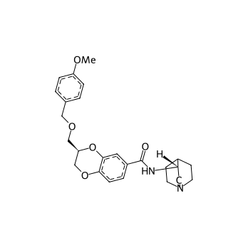 COc1ccc(COC[C@@H]2COc3ccc(C(=O)N[C@H]4CN5CCC4CC5)cc3O2)cc1